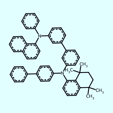 CC1(C)CCC(C)(C)c2c(N(c3ccc(-c4ccccc4)cc3)c3cccc(-c4cccc(N(c5ccccc5)c5cccc6ccccc56)c4)c3)cccc21